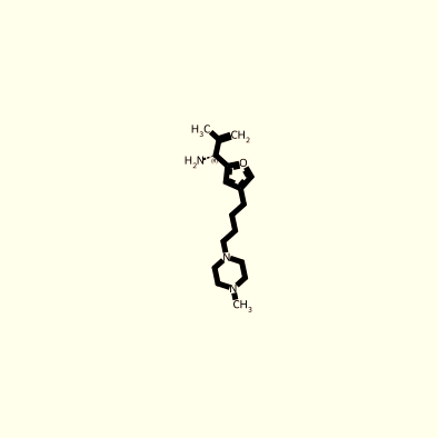 C=C(C)[C@@H](N)c1cc(CCCCN2CCN(C)CC2)co1